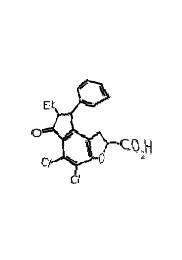 CCC1C(=O)c2c(Cl)c(Cl)c3c(c2C1c1ccccc1)CC(C(=O)O)O3